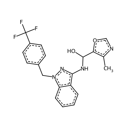 Cc1ncoc1C(O)Nc1nn(Cc2ccc(C(F)(F)F)cc2)c2ccccc12